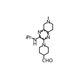 CC(C)Nc1nc2c(nc1N1CCC(C=O)CC1)CCN(C)C2